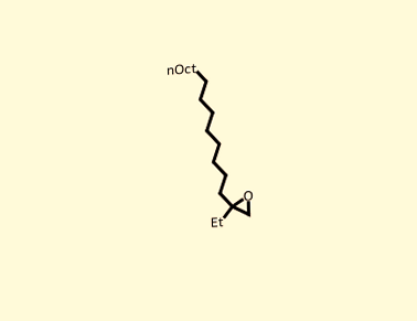 CCCCCCCCCCCCCCCCC1(CC)CO1